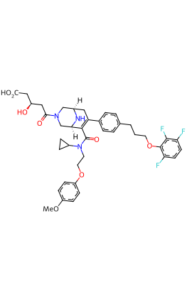 COc1ccc(OCCN(C(=O)C2=C(c3ccc(CCCOc4c(F)ccc(F)c4F)cc3)C[C@@H]3CN(C(=O)C[C@@H](O)CC(=O)O)C[C@H]2N3)C2CC2)cc1